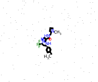 CCc1ccc([C@H]2C[C@@H](C(F)(F)F)n3ncc(C(=O)NCc4cccn4C)c3N2)cc1